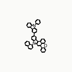 c1ccc(-n2c3ccccc3c3cc(-c4ccc5c(c4)c4c6cccc7c6c(cc4n5-c4cccc5ccccc45)-c4ccccc4O7)ccc32)cc1